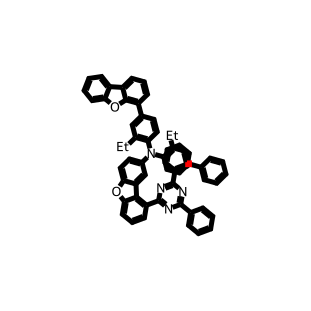 CCc1cc(-c2ccccc2)ccc1N(c1ccc2oc3cccc(-c4nc(-c5ccccc5)nc(-c5ccccc5)n4)c3c2c1)c1ccc(-c2cccc3c2oc2ccccc23)cc1CC